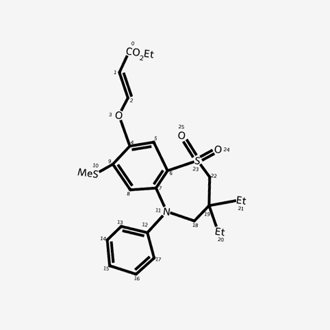 CCOC(=O)/C=C/Oc1cc2c(cc1SC)N(c1ccccc1)CC(CC)(CC)CS2(=O)=O